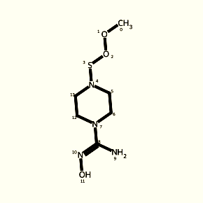 COOSN1CCN(/C(N)=N/O)CC1